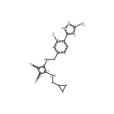 O=c1c(NCc2ccc(-c3noc(C(F)(F)F)n3)c(F)c2)c(NCC2CC2)c1=O